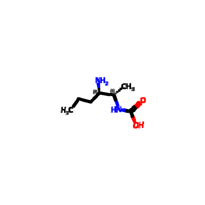 CCC[C@@H](N)[C@H](C)NC(=O)O